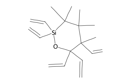 C=CC1(C=C)O[Si](C=C)(C=C)C(C)(C)C(C)(C)C1(C)C=C